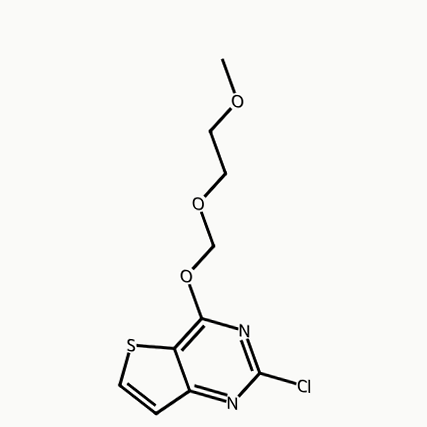 COCCOCOc1nc(Cl)nc2ccsc12